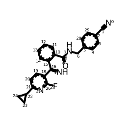 N#Cc1ccc(CNC(=O)c2ccccc2C(=N)c2ccc(C3CC3)nc2F)cc1